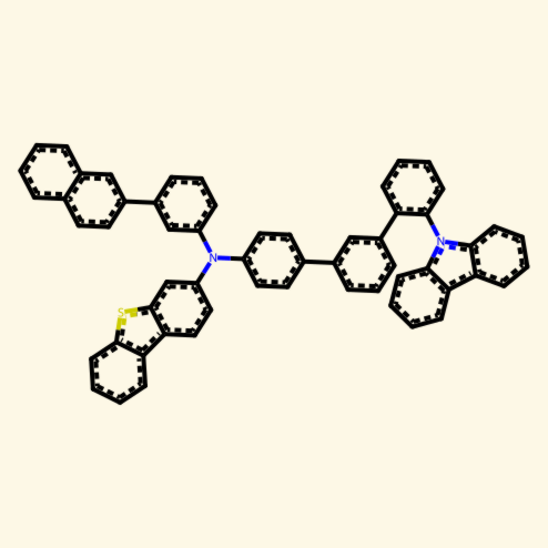 c1cc(-c2ccc(N(c3cccc(-c4ccc5ccccc5c4)c3)c3ccc4c(c3)sc3ccccc34)cc2)cc(-c2ccccc2-n2c3ccccc3c3ccccc32)c1